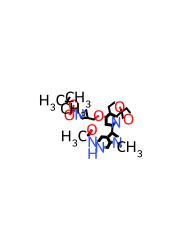 CC(=O)Nc1cc2c(-c3cc(OCC4CN(C(=O)OC(C)(C)C)C4)c4c(n3)C3(CCOC3)OCC4)cn(C)c2cn1